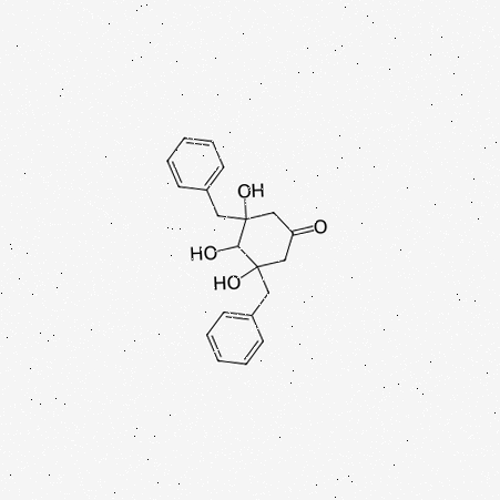 O=C1CC(O)(Cc2ccccc2)C(O)C(O)(Cc2ccccc2)C1